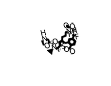 COC(=O)NCCCc1cc([C@@H](C)N(C(=O)[C@H]2CNCCO2)C2CC2)sc1-c1cc(C(F)(F)F)ccc1C(=O)OC